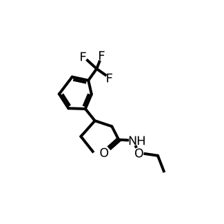 CCONC(=O)CC(CC)c1cccc(C(F)(F)F)c1